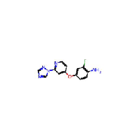 Nc1ccc(Oc2ccnc(-n3cncn3)c2)cc1F